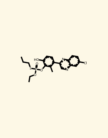 CCCSP(=O)(OCC)Oc1c(O)ccc(-c2cnc3cc(Cl)ccc3n2)c1C